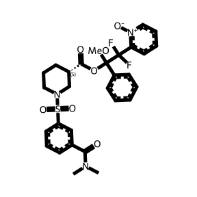 COC(OC(=O)[C@H]1CCCN(S(=O)(=O)c2cccc(C(=O)N(C)C)c2)C1)(c1ccccc1)C(F)(F)c1cccc[n+]1[O-]